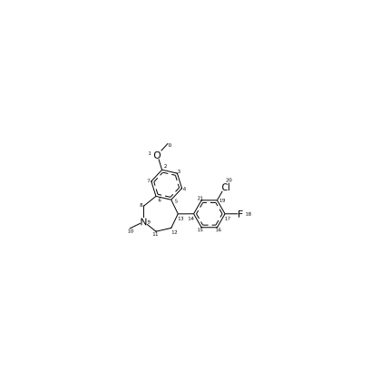 COc1ccc2c(c1)CN(C)CCC2c1ccc(F)c(Cl)c1